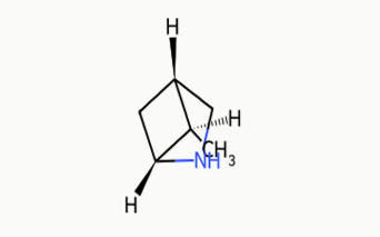 C[C@@H]1[C@H]2CN[C@@H]1C2